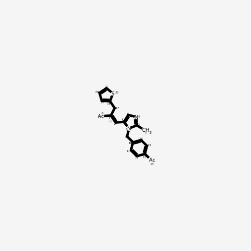 CC(=O)/C(=C/c1cnc(C)n1Cc1ccc(C(C)=O)cc1)Cc1cccs1